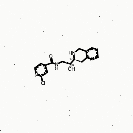 O=C(NC[C@@H](O)[C@@H]1Cc2ccccc2CN1)c1ccnc(Cl)c1